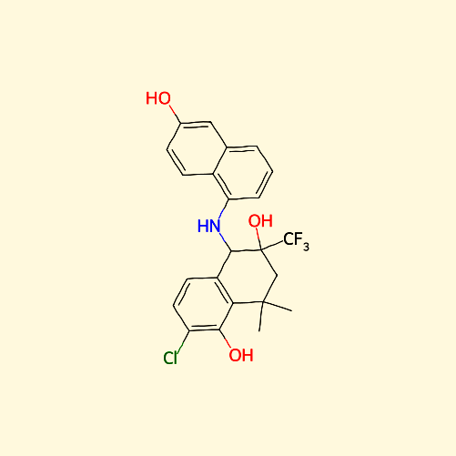 CC1(C)CC(O)(C(F)(F)F)C(Nc2cccc3cc(O)ccc23)c2ccc(Cl)c(O)c21